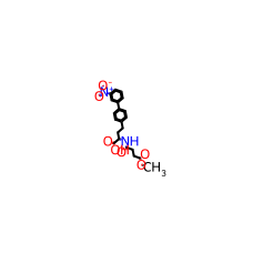 COC(=O)CCC(=O)NC(CCc1ccc(-c2cccc([N+](=O)[O-])c2)cc1)C(=O)O